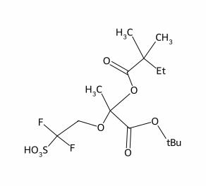 CCC(C)(C)C(=O)OC(C)(OCC(F)(F)S(=O)(=O)O)C(=O)OC(C)(C)C